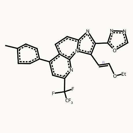 CCO/C=C/c1c(-c2nnco2)nc2ccc3c(-c4ccc(C)cc4)cc(C(F)(F)C(F)(F)F)nc3n12